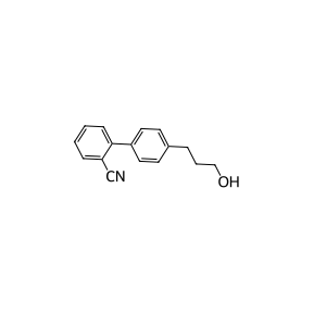 N#Cc1ccccc1-c1ccc(CCCO)cc1